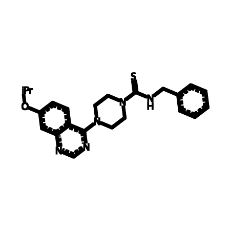 CC(C)Oc1ccc2c(N3CCN(C(=S)NCc4ccccc4)CC3)ncnc2c1